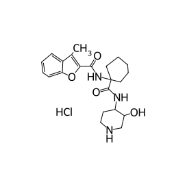 Cc1c(C(=O)NC2(C(=O)NC3CCNCC3O)CCCCC2)oc2ccccc12.Cl